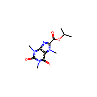 CC(C)OC(=O)c1nc2c(c(=O)n(C)c(=O)n2C)n1C